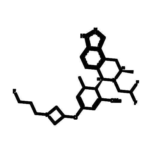 COC1=CC(OC2CN(CCCF)C2)=CC(C)C1[C@@H]1c2ccc3[nH]ncc3c2C[C@@H](C)N1CC(F)F